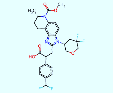 COC(=O)N1c2ccc3c(nc(CC(C(=O)O)c4ccc(C(F)F)cc4)n3[C@H]3COCC(F)(F)C3)c2CC[C@@H]1C